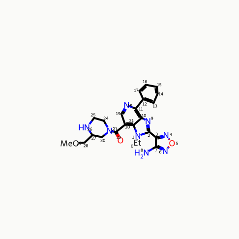 CCn1c(-c2nonc2N)nc2c(-c3ccccc3)ncc(C(=O)N3CCNC(COC)C3)c21